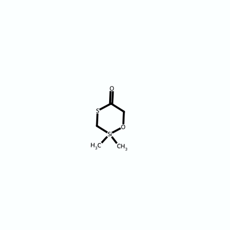 C[Si]1(C)CSC(=O)CO1